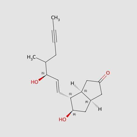 CC#CCC(C)[C@H](O)C=C[C@@H]1[C@H]2CC(=O)C[C@H]2C[C@H]1O